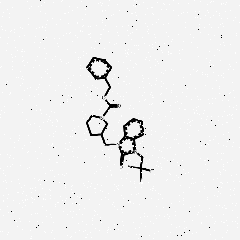 O=C(OCc1ccccc1)N1CCCC(Cn2c(=O)n(CC(F)(F)F)c3ccccc32)C1